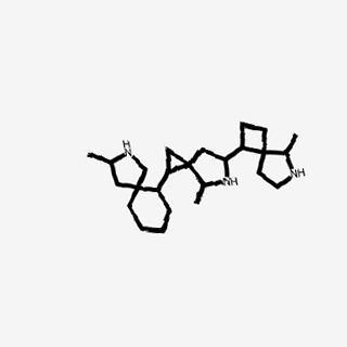 CC1CC2(CCCCC2C2CC23CC(C2CCC24CCNC4C)NC3C)CN1